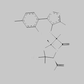 Cc1noc(-c2ccc(Cl)cc2Cl)c1NC1(C)C(=O)N2[C@@H](C(=O)O)C(C)(C)S[C@@H]21